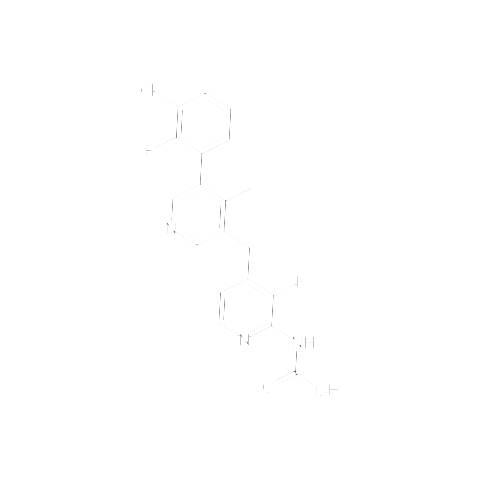 Cc1c(Cc2ccnc(NC(=O)O)c2F)cncc1-c1cccc(Cl)c1F